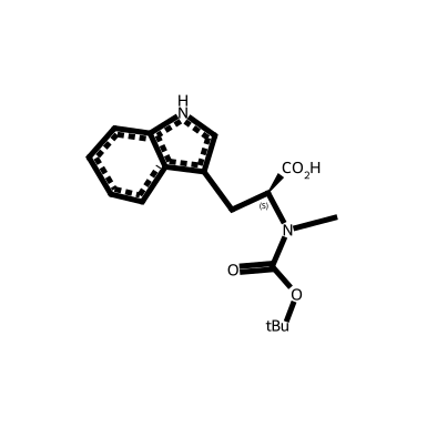 CN(C(=O)OC(C)(C)C)[C@@H](Cc1c[nH]c2ccccc12)C(=O)O